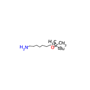 CC(C)(C)[Si](C)(C)OCCCCCCCN